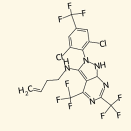 C=CCCNC1=C2C(C(F)(F)F)=NC(C(F)(F)F)=NC2NN1c1c(Cl)cc(C(F)(F)F)cc1Cl